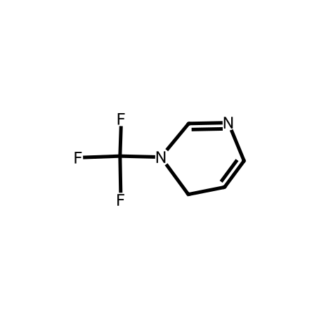 FC(F)(F)N1C=NC=CC1